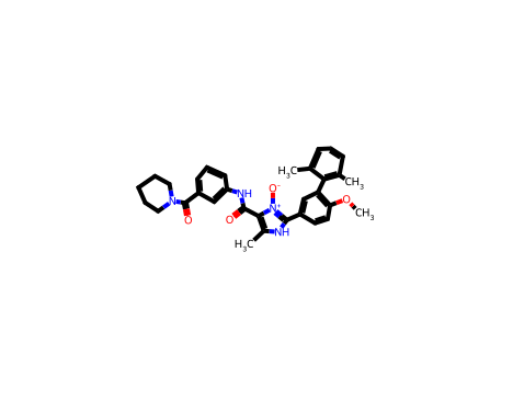 COc1ccc(-c2[nH]c(C)c(C(=O)Nc3cccc(C(=O)N4CCCCC4)c3)[n+]2[O-])cc1-c1c(C)cccc1C